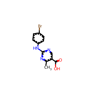 Cc1nc(Nc2ccc(Br)cc2)ncc1C(=O)O